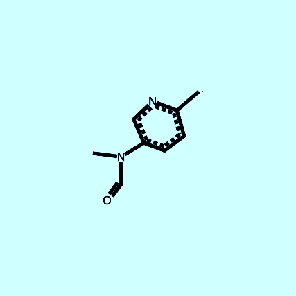 [CH2]c1ccc(N(C)C=O)cn1